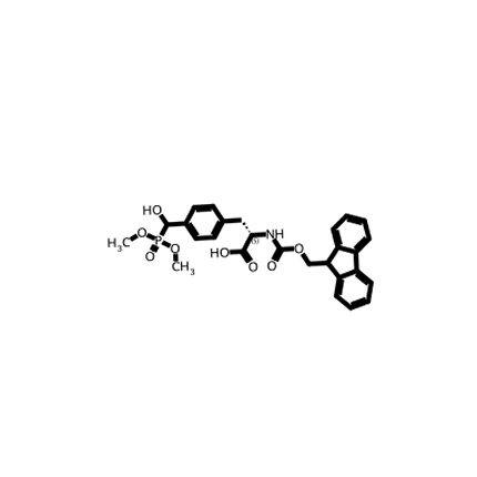 COP(=O)(OC)C(O)c1ccc(C[C@H](NC(=O)OCC2c3ccccc3-c3ccccc32)C(=O)O)cc1